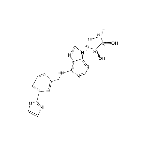 C[C@H]1O[C@@H](n2cnc3c(NCc4cccc(-c5ncco5)c4)ncnc32)[C@H](O)[C@@H]1O